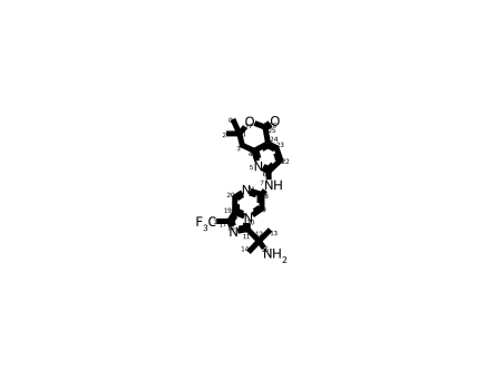 CC1(C)Cc2nc(Nc3cn4c(C(C)(C)N)nc(C(F)(F)F)c4cn3)ccc2C(=O)O1